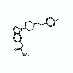 CNC(=O)Cc1ccc2ccn(C3CCN(CCc4ccc(F)cc4)CC3)c2c1